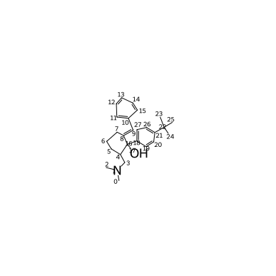 CN(C)CC1CCCC(=Cc2ccccc2)C1(O)c1ccc(C(C)(C)C)cc1